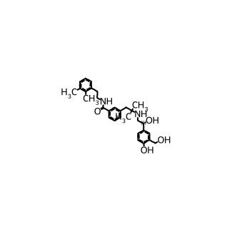 Cc1cccc(CCNC(=O)c2cccc(CC(C)(C)NC[C@@H](O)c3ccc(O)c(CO)c3)c2)c1C